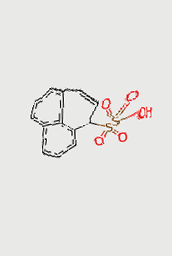 O=S(=O)(O)S(=O)(=O)C1C=Cc2cccc3cccc1c23